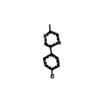 Cc1cnc(-c2ccc(Cl)cc2)cn1